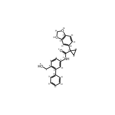 O=C(Nc1ccc(CO)c(-c2ccccc2)c1)C1(c2ccc3c(c2)OCO3)CC1